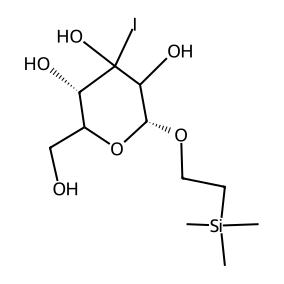 C[Si](C)(C)CCO[C@@H]1OC(CO)[C@H](O)C(O)(I)C1O